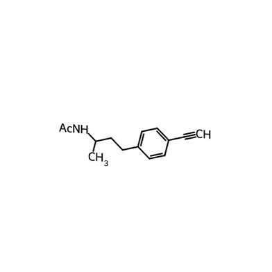 C#Cc1ccc(CCC(C)NC(C)=O)cc1